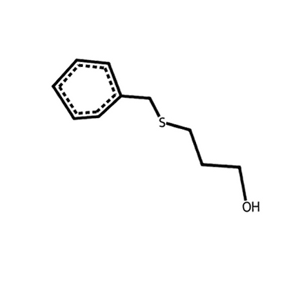 OCCCSCc1ccccc1